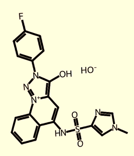 Cn1cnc(S(=O)(=O)Nc2cc3c(O)n(-c4ccc(F)cc4)n[n+]3c3ccccc23)c1.[OH-]